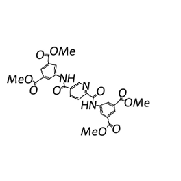 COC(=O)c1cc(NC(=O)c2ccc(C(=O)Nc3cc(C(=O)OC)cc(C(=O)OC)c3)nc2)cc(C(=O)OC)c1